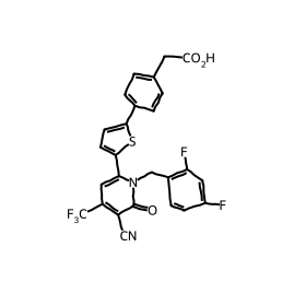 N#Cc1c(C(F)(F)F)cc(-c2ccc(-c3ccc(CC(=O)O)cc3)s2)n(Cc2ccc(F)cc2F)c1=O